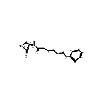 O=C(CCCCCCc1ccccc1)NC1CNC1=O